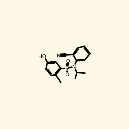 Cc1ccc(O)cc1S(=O)(=O)N(c1ccccc1C#N)C(C)C